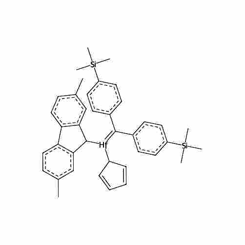 Cc1ccc2c(c1)[CH]([Hf](=[C](c1ccc([Si](C)(C)C)cc1)c1ccc([Si](C)(C)C)cc1)[CH]1C=CC=C1)c1cc(C)ccc1-2